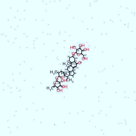 CC1CCC(C(C)C2CCC3C4=CC(=O)C5CC(OC6OC(CO)C(O)C(O)C6O)CCC5(C)C4CCC32C)OC1OC1OC(C)C(O)C(O)C1O